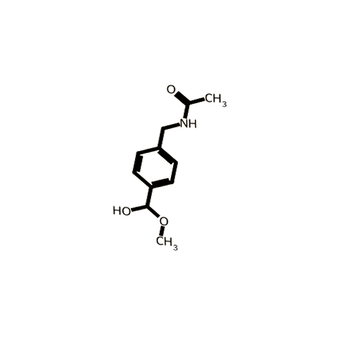 COC(O)c1ccc(CNC(C)=O)cc1